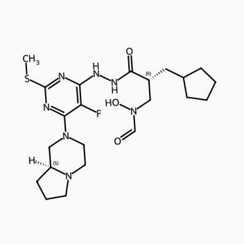 CSc1nc(NNC(=O)[C@H](CC2CCCC2)CN(O)C=O)c(F)c(N2CCN3CCC[C@H]3C2)n1